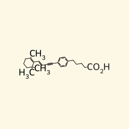 CC1=C(C=CC#Cc2ccc(CCCCC(=O)O)cc2)C(C)(C)CCC1